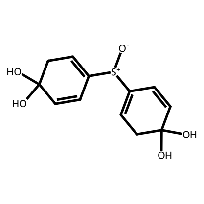 [O-][S+](C1=CCC(O)(O)C=C1)C1=CCC(O)(O)C=C1